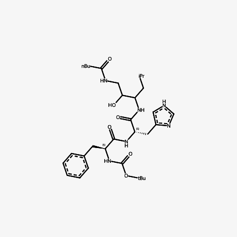 CCCCC(=O)NCC(O)C(CC(C)C)NC(=O)[C@H](Cc1c[nH]cn1)NC(=O)[C@H](Cc1ccccc1)NC(=O)OC(C)(C)C